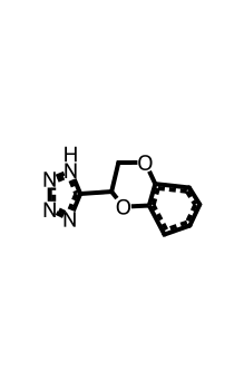 c1ccc2c(c1)OCC(c1nnn[nH]1)O2